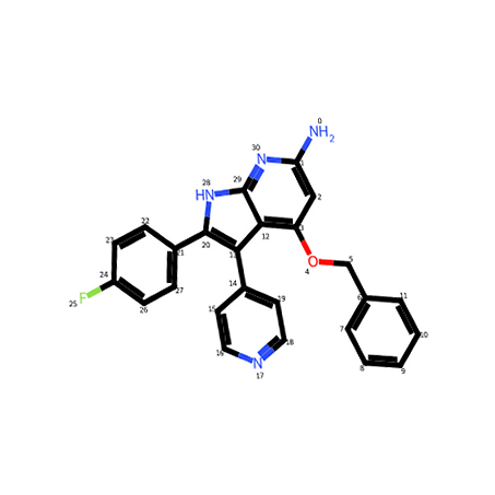 Nc1cc(OCc2ccccc2)c2c(-c3ccncc3)c(-c3ccc(F)cc3)[nH]c2n1